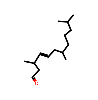 CC(C)CCCC(C)CC=CC(C)CC=O